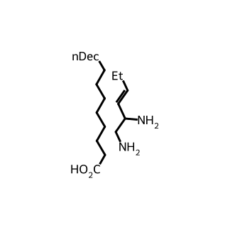 CCC=CC(N)CN.CCCCCCCCCCCCCCCCCC(=O)O